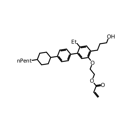 C=CC(=O)OCCOc1cc(-c2ccc(C3CCC(CCCCC)CC3)cc2)c(CC)cc1CCCO